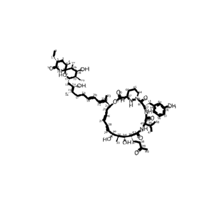 CC[C@@H]1C[C@@H](C)C2(NC1=O)O[C@@H](C[C@H](O)[C@@H](C)CC/C=C/C=C(\C)[C@@H]1C/C=C/C=C/[C@@H](O)[C@H](C)[C@@H](O)[C@@H](CCC(C)=O)C(=O)NC(C(C)C)C(=O)N[C@@H](Cc3cccc(O)c3)C(=O)N3CCC[C@H](N3)C(=O)O1)[C@H](C)[C@H](O)[C@@H]2C